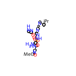 COC(=O)N1CCC(C2COc3cc(S(=O)(=O)NC(=O)c4ncc(N5CCC6(CC5)CC(N5CCC[C@H]5c5ccccc5C(C)C)C6)cc4Oc4cnc5[nH]ccc5c4)cc(N)c3N2)CC1